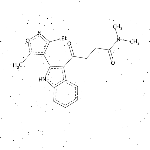 CCc1noc(C)c1-c1[nH]c2ccccc2c1C(=O)CCC(=O)N(C)C